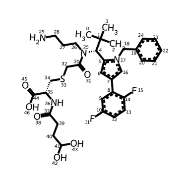 CC(C)(C)[C@H](c1cc(-c2cc(F)ccc2F)cn1Cc1ccccc1)N(CCCN)C(=O)CSC[C@H](NC(=O)CCC(O)O)C(=O)O